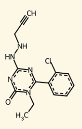 C#CCNNc1nc(-c2ccccc2Cl)n(CC)c(=O)n1